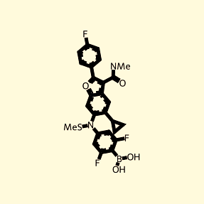 CNC(=O)c1c(-c2ccc(F)cc2)oc2cc(N(SC)c3cc(F)c(B(O)O)c(F)c3)c(C3CC3)cc12